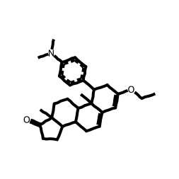 CCOC1=CC2=CCC3C4CCC(=O)C4(C)CCC3C2(C)C(c2ccc(N(C)C)cc2)C1